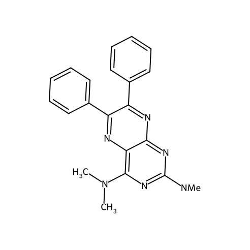 CNc1nc(N(C)C)c2nc(-c3ccccc3)c(-c3ccccc3)nc2n1